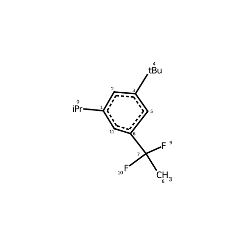 CC(C)c1cc(C(C)(C)C)cc(C(C)(F)F)c1